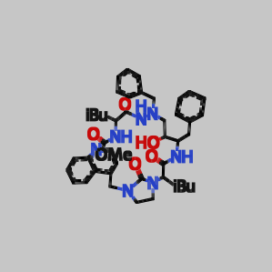 CCC(C)C(NC(=O)OC)C(=O)NN(Cc1ccccc1)CC(O)C(Cc1ccccc1)NC(=O)C(C(C)CC)N1CCN(Cc2ccnc3ccccc23)C1=O